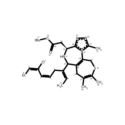 C/C=C(\C/C=C\C(Cl)=C/CC)C1N[C@@H](CC(=O)OC(C)(C)C)c2nnc(C)n2C2=C1CC(C)=C(C)SC2